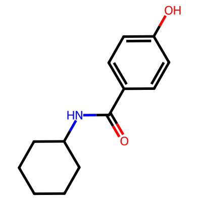 O=C(NC1CCCCC1)c1ccc(O)cc1